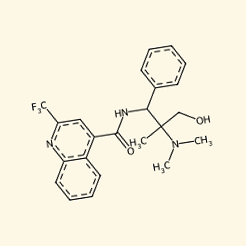 CN(C)C(C)(CO)C(NC(=O)c1cc(C(F)(F)F)nc2ccccc12)c1ccccc1